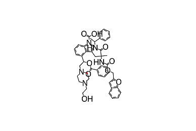 CC(NC(=O)C(C)(Cc1cn(C(=O)O)c2cccc(C(CN3CCN(CCO)CC3)OC(=O)c3ccccc3)c12)NC(=O)OCc1cc2ccccc2o1)c1ccccc1